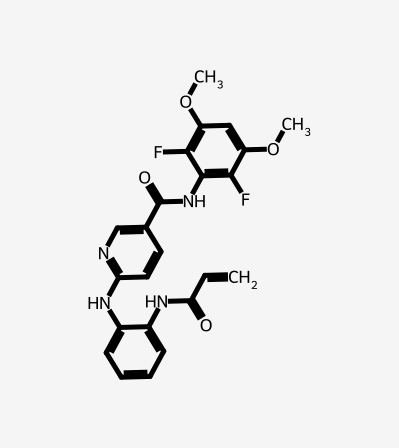 C=CC(=O)Nc1ccccc1Nc1ccc(C(=O)Nc2c(F)c(OC)cc(OC)c2F)cn1